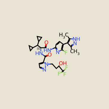 Cc1n[nH]c(C)c1-c1ccc(NC(=O)[C@@H](NC(=O)c2ccnn2CCC(O)C(F)(F)F)C(C2CC2)C2CC2)nc1F